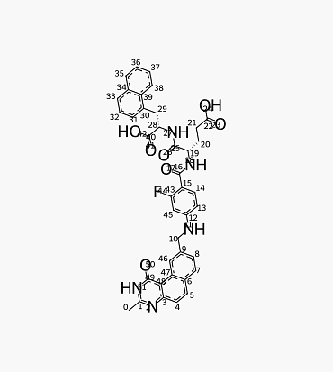 Cc1nc2ccc3ccc(CNc4ccc(C(=O)N[C@@H](CCC(=O)O)C(=O)N[C@@H](Cc5cccc6ccccc56)C(=O)O)c(F)c4)cc3c2c(=O)[nH]1